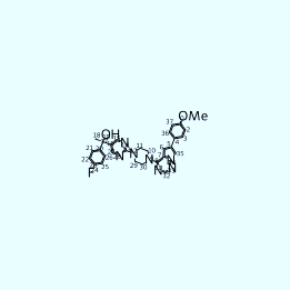 COc1ccc(-c2cc3c(N4CCN(c5ncc([C@@](C)(O)c6ccc(F)cc6)cn5)CC4)ncnn3c2)cc1